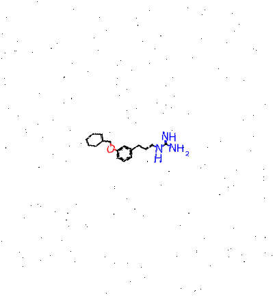 N=C(N)NCCCc1cccc(OCC2CCCCC2)c1